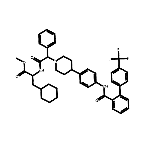 COC(=O)C(CC1CCCCC1)NC(=O)C(c1ccccc1)N1CCC(c2ccc(NC(=O)c3ccccc3-c3ccc(C(F)(F)F)cc3)cc2)CC1